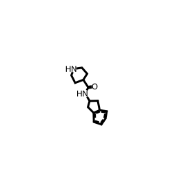 O=C(NC1Cc2ccccc2C1)C1CCNCC1